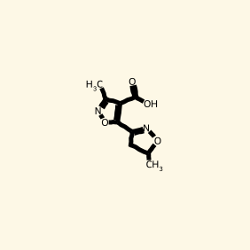 Cc1noc(C2=NOC(C)C2)c1C(=O)O